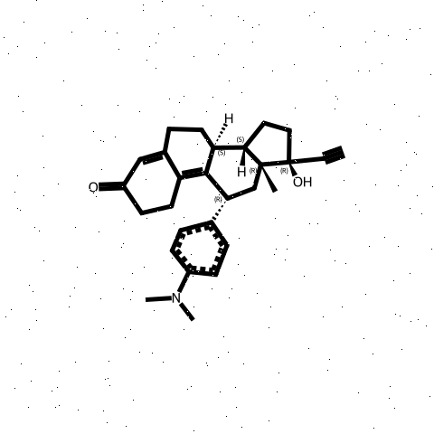 C#C[C@@]1(O)CC[C@H]2[C@@H]3CCC4=CC(=O)CCC4=C3[C@@H](c3ccc(N(C)C)cc3)C[C@]21C